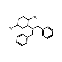 CC1CCC(N)CC1N(Cc1ccccc1)Cc1ccccc1